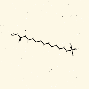 CC(C)(C)OC(=O)CNCCCCCCCCCOS(C)(=O)=O